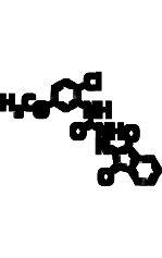 COc1ccc(Cl)c(NC(=O)NN=c2c(=O)c3ccccc3c2=O)c1